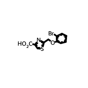 O=C(O)c1csc(COc2ccccc2Br)n1